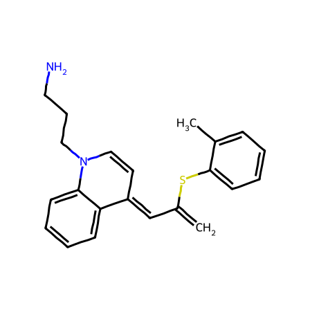 C=C(/C=C1\C=CN(CCCN)c2ccccc21)Sc1ccccc1C